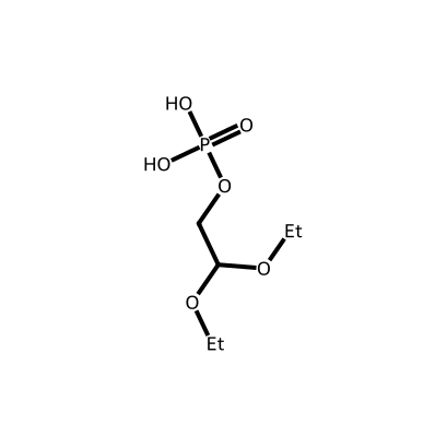 CCOC(COP(=O)(O)O)OCC